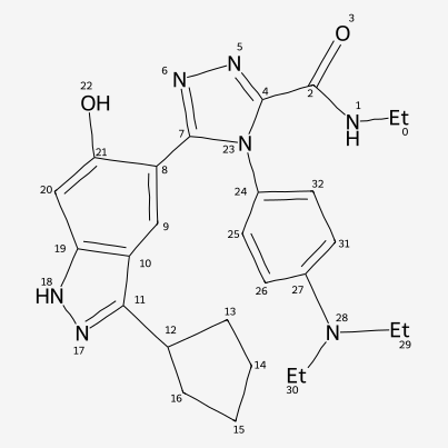 CCNC(=O)c1nnc(-c2cc3c(C4CCCC4)n[nH]c3cc2O)n1-c1ccc(N(CC)CC)cc1